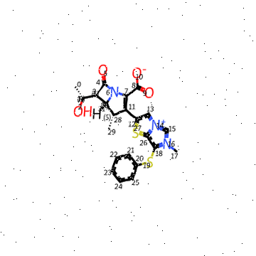 C[C@@H](O)[C@H]1C(=O)N2C(C(=O)[O-])=C(c3c[n+]4cn(C)c(Sc5ccccc5)c4s3)[C@H](C)[C@H]12